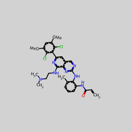 C=CC(=O)Nc1cccc(C)c1Nc1ncc2cc(-c3c(Cl)c(OC)cc(OC)c3Cl)nc(NCCN(C)C)c2n1